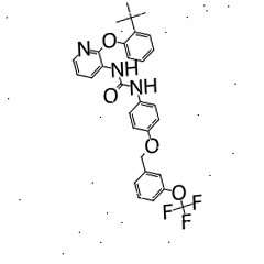 CC(C)(C)c1ccccc1Oc1ncccc1NC(=O)Nc1ccc(OCc2cccc(OC(F)(F)F)c2)cc1